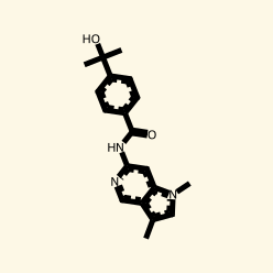 Cc1cn(C)c2cc(NC(=O)c3ccc(C(C)(C)O)cc3)ncc12